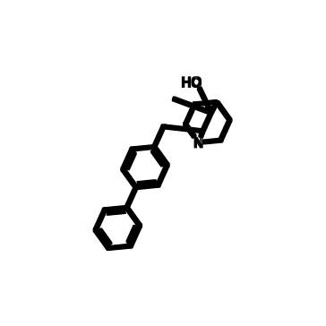 CC1(O)C2CCN(CC2)C1Cc1ccc(-c2ccccc2)cc1